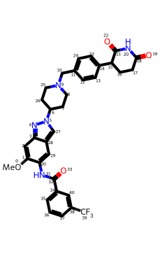 COc1cc2nn(C3CCN(Cc4ccc(C5CCC(=O)NC5=O)cc4)CC3)cc2cc1NC(=O)c1cccc(C(F)(F)F)c1